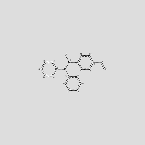 C=Cc1ccc(N(C)P(c2ccccc2)c2ccccc2)cc1